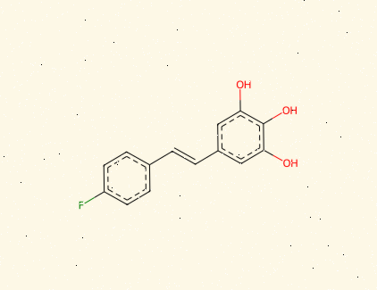 Oc1cc(C=Cc2ccc(F)cc2)cc(O)c1O